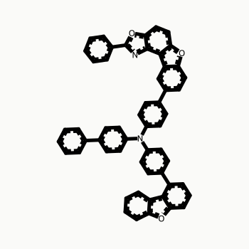 c1ccc(-c2ccc(N(c3ccc(-c4ccc5oc6ccc7oc(-c8ccccc8)nc7c6c5c4)cc3)c3ccc(-c4cccc5oc6ccccc6c45)cc3)cc2)cc1